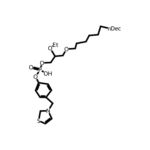 CCCCCCCCCCCCCCCCOCC(COP(=O)(O)Oc1ccc(CN2C=CSC2)cc1)OCC